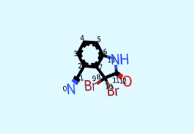 N#Cc1cccc2c1C(Br)(Br)C(=O)N2